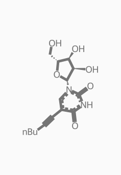 CCCCC#Cc1cn([C@@H]2O[C@H](CO)[C@@H](O)[C@H]2O)c(=O)[nH]c1=O